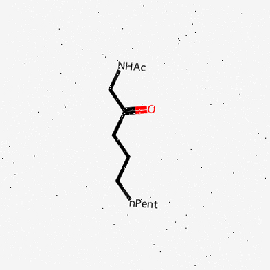 CCCCCCCCC(=O)CNC(C)=O